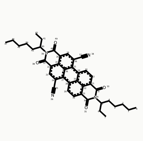 CCCCCC(CC)N1C(=O)c2ccc3c4c(C#N)cc5c6c(cc(C#N)c(c7ccc(c2c37)C1=O)c64)C(=O)N(C(CC)CCCCC)C5=O